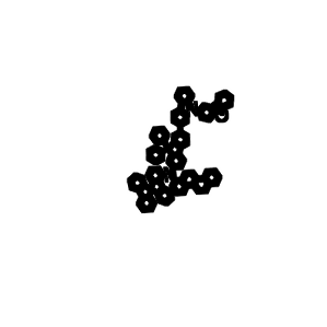 c1ccc(C2(c3ccccc3)c3cc(-c4ccc5c6ccccc6n(-c6ccc7oc8ccccc8c7c6)c5c4)ccc3-c3ccc(N(c4cccc5c4-c4ccccc4C54c5ccccc5-c5ccccc54)c4cccc5c4ccc4c6ccccc6ccc54)cc32)cc1